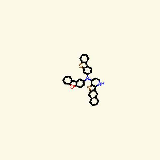 C1=C(N(c2ccc3c(c2)sc2ccccc23)c2ccc3oc4ccccc4c3c2)c2sc3cc4ccccc4cc3c2NC1